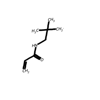 [CH2]C(C)(C)CNC(=O)C=C